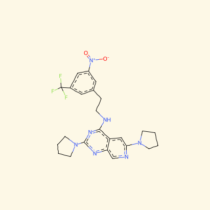 O=[N+]([O-])c1cc(CCNc2nc(N3CCCC3)nc3cnc(N4CCCC4)cc23)cc(C(F)(F)F)c1